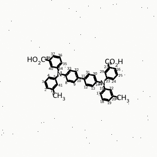 Cc1cccc(N(c2ccc(-c3ccc(N(c4cccc(C)c4)c4cccc(C(=O)O)c4)cc3)cc2)c2cccc(C(=O)O)c2)c1